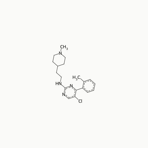 Cc1ccccc1-c1nc(NCCC2CCN(C)CC2)ncc1Cl